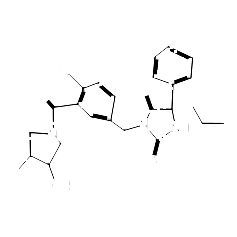 CC(C)CC[C@]1(c2ccccc2)NC(=O)N(Cc2ccc(C(C)(C)C)c(C(=O)N3CC(O)C(O)C3)c2)C1=O